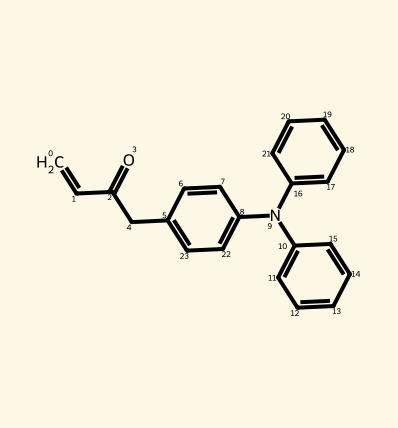 C=CC(=O)Cc1ccc(N(c2ccccc2)c2ccccc2)cc1